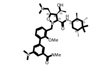 CNC(=O)c1cc(-c2cccc(CN3O[C@@H](CN(C)C)[C@@H]([C@H](C)O)[C@H]3C(=O)N[C@H]3C[C@@H](C)C(C)(C)[C@@H](C)[C@@H]3C)c2OC)cc(N(C)C)c1